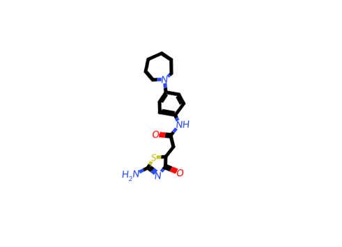 NC1=NC(=O)C(CC(=O)Nc2ccc(N3CCCCCC3)cc2)S1